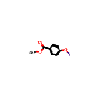 CC(C)(C)OC(=O)c1ccc(OI)cc1